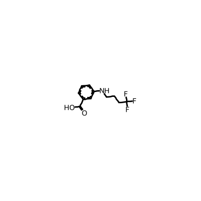 O=C(O)c1cccc(NCCCC(F)(F)F)c1